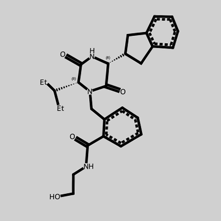 CCC(CC)[C@@H]1C(=O)N[C@H](C2Cc3ccccc3C2)C(=O)N1Cc1ccccc1C(=O)NCCO